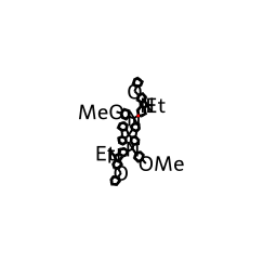 CCn1c2ccc(Oc3ccccc3)cc2c2cc(N(c3ccc(OC)cc3)c3ccc4c(c3)C3(c5ccccc5-c5ccccc53)c3cc(N(c5ccc(OC)cc5)c5ccc6c(c5)c5cc(Oc7ccccc7)ccc5n6CC)ccc3-4)ccc21